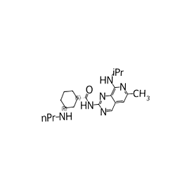 CCCN[C@@H]1CCC[C@H](C(=O)Nc2ncc3cc(C)nc(NC(C)C)c3n2)C1